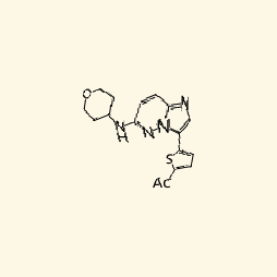 CC(=O)c1ccc(-c2cnc3ccc(NC4CCOCC4)nn23)s1